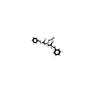 O=C(CN(CCBr)CC(=O)OCc1ccccc1)OCc1ccccc1